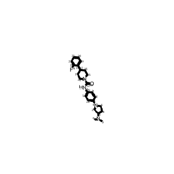 CN(C)C1CCN(c2ccc(NC(=O)N3CCC(c4ccccc4F)CC3)cc2)C1